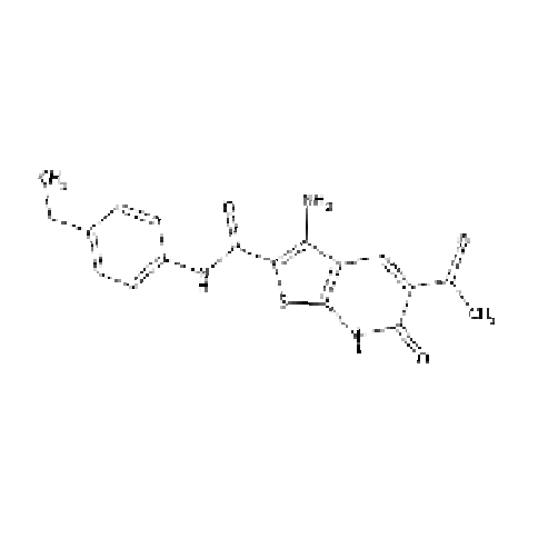 CCc1ccc(NC(=O)c2sc3[nH]c(=O)c(C(C)=O)cc3c2N)cc1